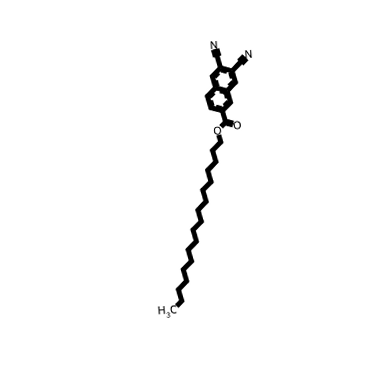 CCCCCCCCCCCCCCCCCCOC(=O)c1ccc2cc(C#N)c(C#N)cc2c1